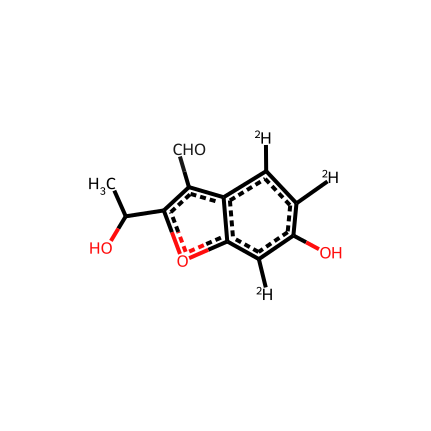 [2H]c1c(O)c([2H])c2oc(C(C)O)c(C=O)c2c1[2H]